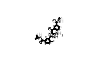 Cc1ccc(C(=O)NC2CC2)cc1-c1nc(C(=O)c2cccc(C(=O)NC(C)C)c2)c(N)[nH]1